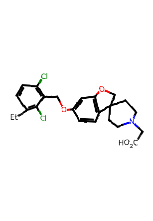 CCc1ccc(Cl)c(COc2ccc3c(c2)OCC32CCN(CC(=O)O)CC2)c1Cl